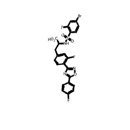 O=C(O)C(Cc1ccc(-c2noc(-c3ccc(F)cc3)n2)c(F)c1)NS(=O)(=O)c1ccc(Br)cc1F